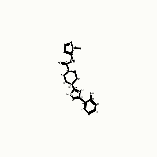 Cn1nccc1NC(=O)N1CCN(c2nc(-c3ccccc3F)cs2)CC1